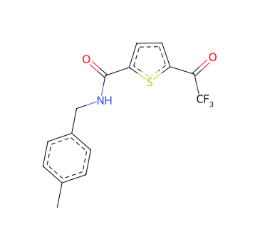 Cc1ccc(CNC(=O)c2ccc(C(=O)C(F)(F)F)s2)cc1